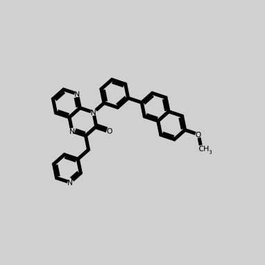 COc1ccc2cc(-c3cccc(-n4c(=O)c(Cc5cccnc5)nc5cccnc54)c3)ccc2c1